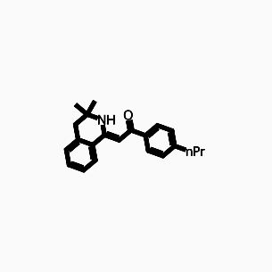 CCCc1ccc(C(=O)C=C2NC(C)(C)Cc3ccccc32)cc1